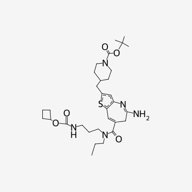 CCCN(CCCNC(=O)OC1CCC1)C(=O)C1=Cc2sc(CC3CCN(C(=O)OC(C)(C)C)CC3)cc2N=C(N)C1